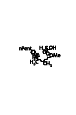 C=C(CO)C(=O)OC[C@@H](CCC(C)CCC(C)C(F)(F)C(F)(F)c1ccc(CCCCC)cc1)COC